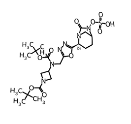 CC(C)(C)OC(=O)N1CC(N(Cc2nnc([C@@H]3CCC4CN3C(=O)N4OS(=O)(=O)O)o2)C(=O)OC(C)(C)C)C1